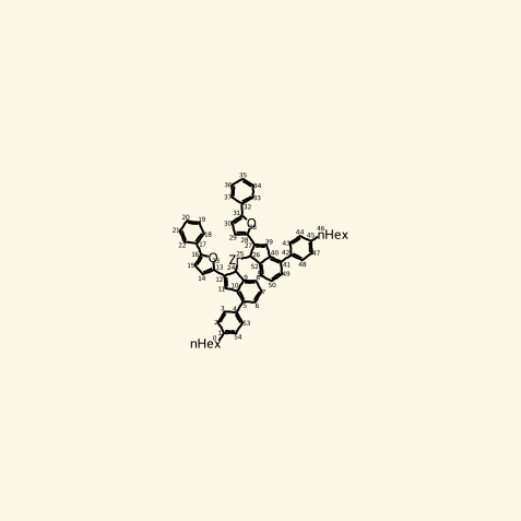 CCCCCCc1ccc(-c2cccc3c2C=C(c2ccc(-c4ccccc4)o2)[CH]3[Zr][CH]2C(c3ccc(-c4ccccc4)o3)=Cc3c(-c4ccc(CCCCCC)cc4)cccc32)cc1